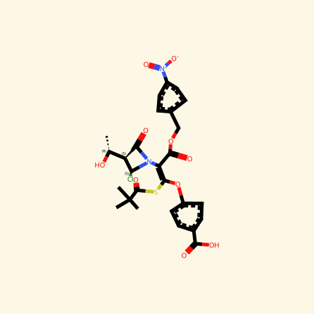 C[C@@H](O)[C@H]1C(=O)N(C(C(=O)OCc2ccc([N+](=O)[O-])cc2)=C(Oc2ccc(C(=O)O)cc2)SC(=O)C(C)(C)C)[C@H]1Cl